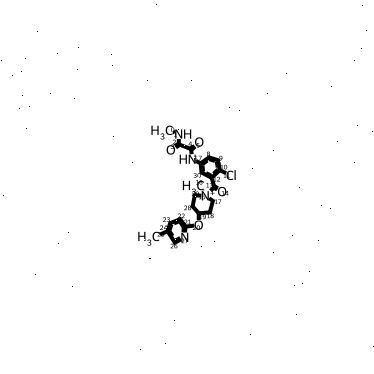 CNC(=O)C(=O)Nc1ccc(Cl)c(C(=O)[N+]2(C)CCC(Oc3ccc(C)cn3)CC2)c1